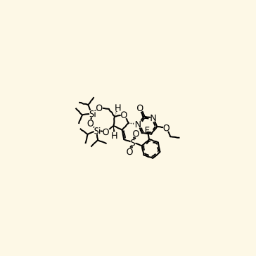 CCOc1ccn([C@H]2O[C@@H]3CO[Si](C(C)C)(C(C)C)O[Si](C(C)C)(C(C)C)O[C@H]3/C2=C/S(=O)(=O)c2ccccc2F)c(=O)n1